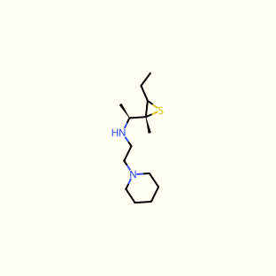 CCC1S[C@]1(C)[C@H](C)NCCN1CCCCC1